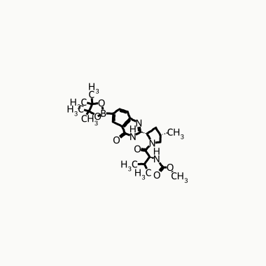 COC(=O)N[C@H](C(=O)N1C[C@@H](C)C[C@H]1c1nc2ccc(B3OC(C)(C)C(C)(C)O3)cc2c(=O)[nH]1)C(C)C